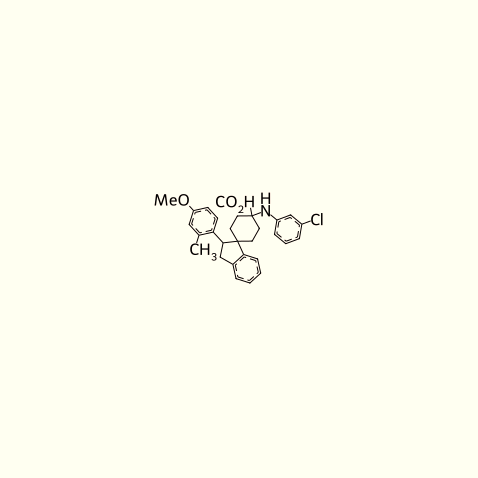 COc1ccc(C2Cc3ccccc3C23CCC(Nc2cccc(Cl)c2)(C(=O)O)CC3)c(C)c1